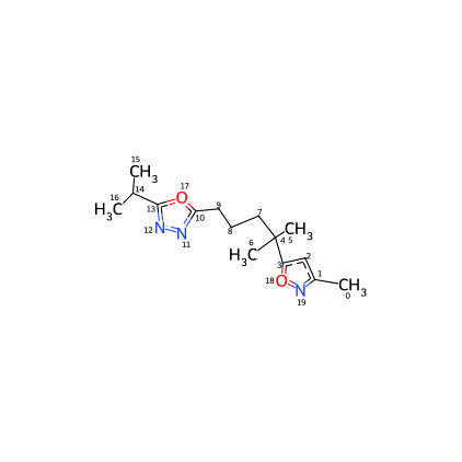 Cc1cc(C(C)(C)CCCc2nnc(C(C)C)o2)on1